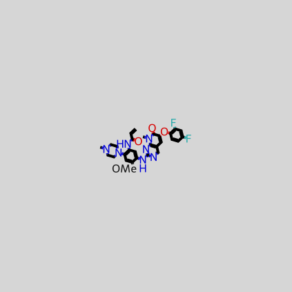 C=CC(=O)Nc1cc(Nc2ncc3cc(Oc4ccc(F)cc4F)c(=O)n(C)c3n2)c(OC)cc1N1CCN(C)CC1